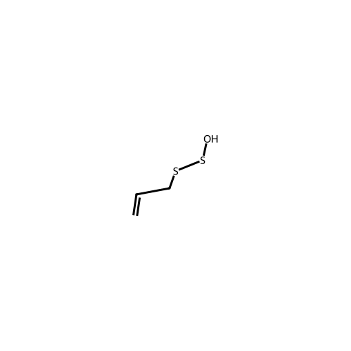 C=CCSSO